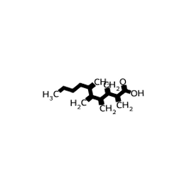 C=C(CCCC)C(=C)C(=C)C(=C)C(=C)C(=O)O